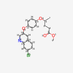 COC(=O)CCC(C)Oc1ccc(Oc2cnc3cc(Br)ccc3c2)cc1